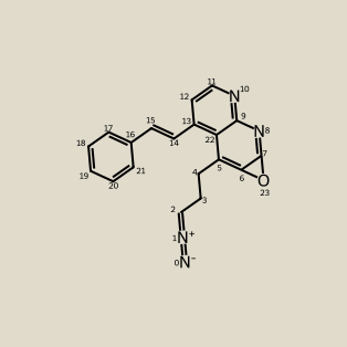 [N-]=[N+]=CCCc1c2c(nc3nccc(C=Cc4ccccc4)c13)O2